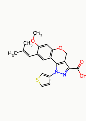 COc1cc2c(cc1C=C(C)C)-c1c(c(C(=O)O)nn1-c1ccsc1)CO2